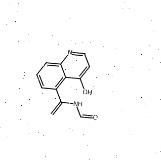 C=C(NC=O)c1cccc2nccc(O)c12